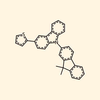 CC1(C)c2ccccc2-c2ccc(-n3c4ccccc4c4cc(-c5cccs5)ccc43)cc21